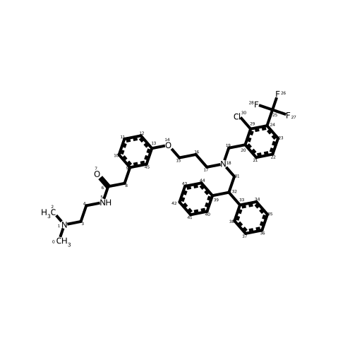 CN(C)CCNC(=O)Cc1cccc(OCCCN(Cc2cccc(C(F)(F)F)c2Cl)CC(c2ccccc2)c2ccccc2)c1